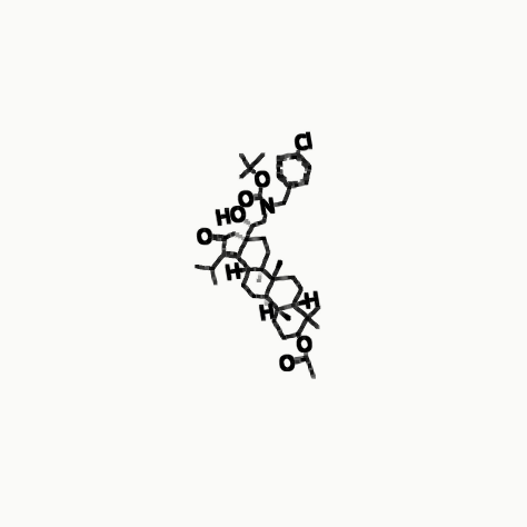 CC(=O)O[C@H]1CC[C@@]2(C)[C@H](CC[C@]3(C)[C@@H]2CC[C@@H]2C4=C(C(C)C)C(=O)C[C@]4([C@H](O)CN(Cc4ccc(Cl)cc4)C(=O)OC(C)(C)C)CC[C@]23C)C1(C)C